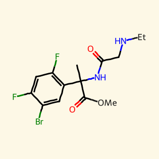 CCNCC(=O)NC(C)(C(=O)OC)c1cc(Br)c(F)cc1F